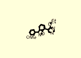 CCOc1ncncc1-c1cccc2c(-c3ccccc3OC)noc12